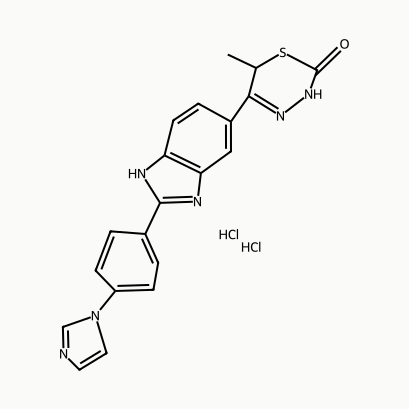 CC1SC(=O)NN=C1c1ccc2[nH]c(-c3ccc(-n4ccnc4)cc3)nc2c1.Cl.Cl